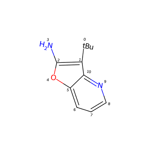 CC(C)(C)c1c(N)oc2cccnc12